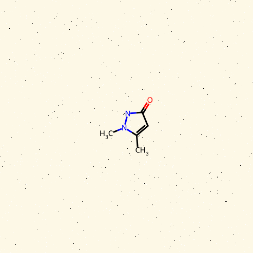 CC1=CC(=O)[N]N1C